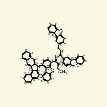 CCC(C)/C(=N\C(=N/Cc1ccc2oc3ccccc3c2c1)c1ccc2oc3ccccc3c2c1)c1ccc(-n2c3cc4ccccc4cc3c3c4ccccc4ccc32)c2c1oc1ccccc12